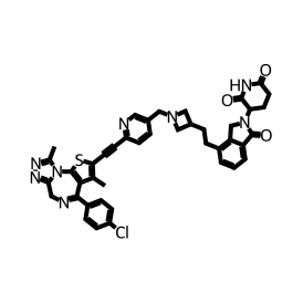 Cc1c(C#Cc2ccc(CN3CC(CCc4cccc5c4CN(C4CCC(=O)NC4=O)C5=O)C3)cn2)sc2c1C(c1ccc(Cl)cc1)=NCc1nnc(C)n1-2